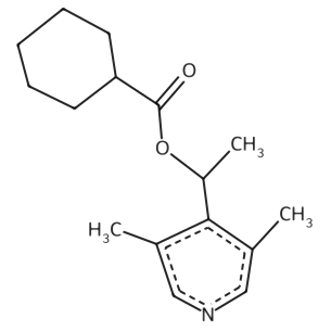 Cc1cncc(C)c1C(C)OC(=O)C1CCCCC1